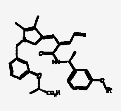 C=C/C=C(\C=C1/CN(Cc2cccc(O[C@@H](C)C(=O)O)c2)C(C)=C1C)C(=O)N[C@@H](C)c1cccc(OC(C)C)c1